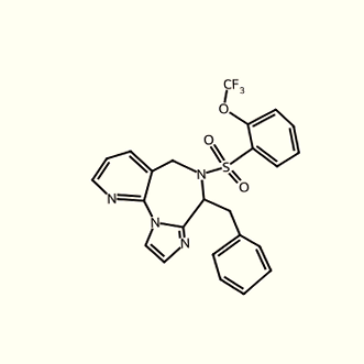 O=S(=O)(c1ccccc1OC(F)(F)F)N1Cc2cccnc2-n2ccnc2C1Cc1ccccc1